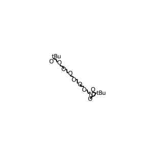 CC(C)(C)C(=O)CCOCCOCCOCCOCCOCCOCCN1C(=O)CC(C(C)(C)C)C1=O